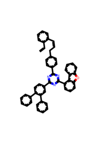 C=Cc1ccccc1/C=C\Cc1ccc(-c2nc(-c3ccc(-c4ccccc4)c(-c4ccccc4)c3)nc(-c3cccc4oc5ccccc5c34)n2)cc1